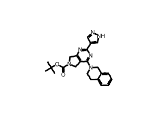 CC(C)(C)OC(=O)N1Cc2nc(-c3cn[nH]c3)nc(N3CCc4ccccc4C3)c2C1